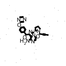 CC#CC(=O)N1CCC[C@H]1c1nc(C(=O)c2ccc(Oc3cnccn3)cc2)c2c(N)nccn12